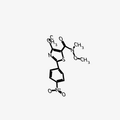 COc1nc(-c2ccc([N+](=O)[O-])cc2)sc1C(=O)N(C)OC